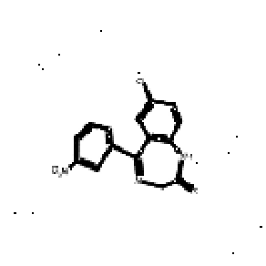 O=[N+]([O-])c1cccc(C2=NCC(=S)Nc3ccc(Cl)cc32)c1